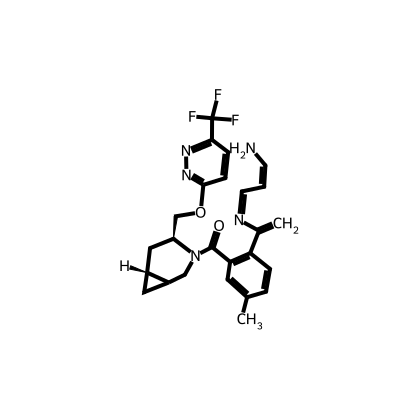 C=C(/N=C\C=C/N)c1ccc(C)cc1C(=O)N1CC2C[C@@H]2C[C@H]1COc1ccc(C(F)(F)F)nn1